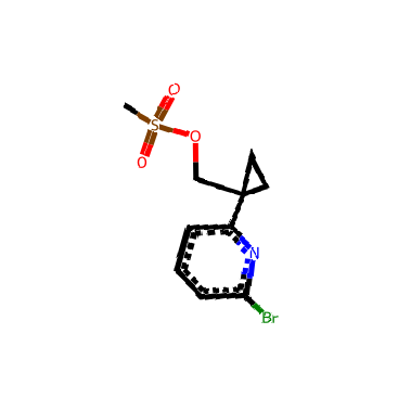 CS(=O)(=O)OCC1(c2cccc(Br)n2)CC1